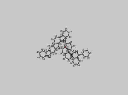 c1ccc(-c2nc(-c3ccc(-n4c5ccccc5c5ccc6c7cc8c(cc7n(-c7ccc9ccccc9c7)c6c54)oc4ccccc48)cc3)nc3ccccc23)cc1